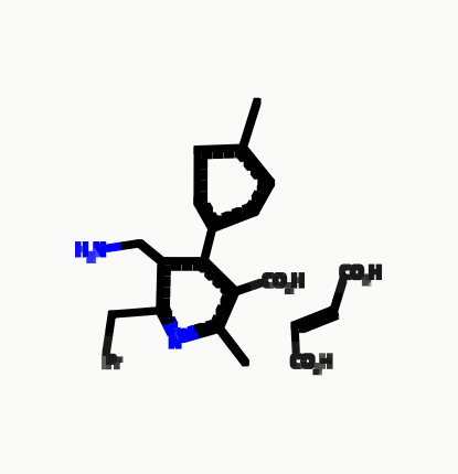 Cc1ccc(-c2c(CN)c(CC(C)C)nc(C)c2C(=O)O)cc1.O=C(O)C=CC(=O)O